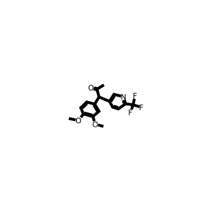 COc1ccc(C(C(C)=O)c2ccc(C(F)(F)F)nc2)cc1OC